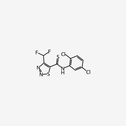 FC(F)c1nnsc1C(=S)Nc1cc(Cl)ccc1Cl